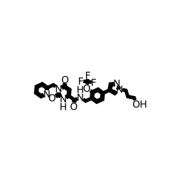 O=C(NCc1ccc(-c2cnn(CCCO)c2)cc1OC(F)(F)F)c1cc(=O)n(Cc2ccccn2)c(=O)[nH]1